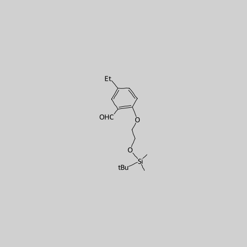 CCc1ccc(OCCO[Si](C)(C)C(C)(C)C)c(C=O)c1